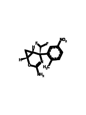 Cc1ccc([N+](=O)[O-])cc1[C@@]1(C(F)F)N=C(N)O[C@@H]2C[C@@H]21